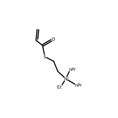 C=CC(=O)SCC[N+](CC)(CCC)CCC